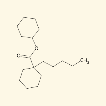 CCCCCC1(C(=O)OC2CCCCC2)CCCCC1